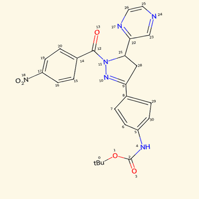 CC(C)(C)OC(=O)Nc1ccc(C2=NN(C(=O)c3ccc([N+](=O)[O-])cc3)C(c3cnccn3)C2)cc1